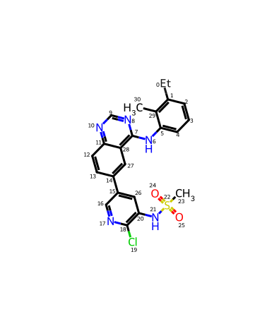 CCc1cccc(Nc2ncnc3ccc(-c4cnc(Cl)c(NS(C)(=O)=O)c4)cc23)c1C